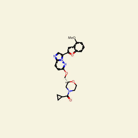 COc1cccc2oc(-c3cnc4ccc(OC[C@H]5CN(C(=O)C6CC6)CCO5)nn34)cc12